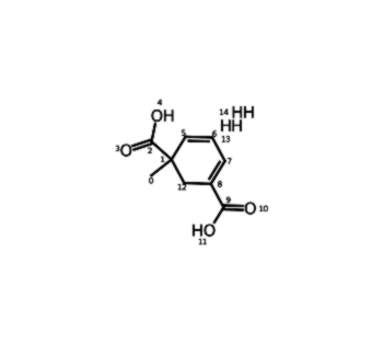 CC1(C(=O)O)C=CC=C(C(=O)O)C1.[HH].[HH]